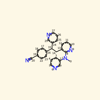 CN(c1cccnc1)c1ncccc1CC(c1ccc(C#N)cc1)c1cccnc1